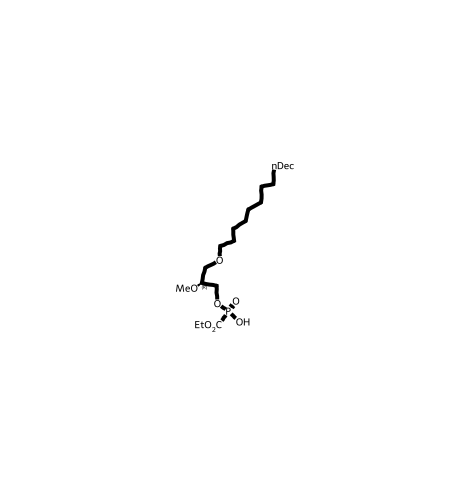 CCCCCCCCCCCCCCCCCCOC[C@H](COP(=O)(O)C(=O)OCC)OC